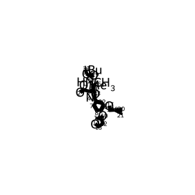 COC(=O)c1nc(-c2ccc(OC3CCOC3)c(OCC3CC3)c2)oc1[C@H](C)NC(=O)OC(C)(C)C